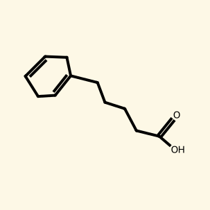 O=C(O)CCCCC1=CCC=CC1